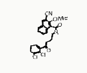 COc1c(C#N)cc2ccccc2c1C(=O)N(C)CCCC(=O)c1cccc(Cl)c1Cl